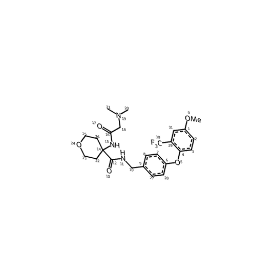 COc1ccc(Oc2ccc(CNC(=O)C3(NC(=O)CN(C)C)CCOCC3)cc2)c(C(F)(F)F)c1